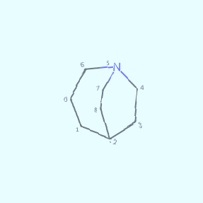 C1C[C]2CCN(C1)CC2